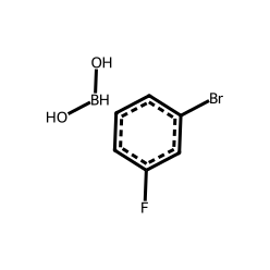 Fc1cccc(Br)c1.OBO